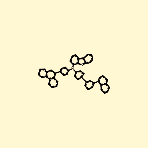 c1cc(-c2ccc(N(c3ccc(-c4cc5ccccc5c5ccccc45)cc3)c3cccc4c3sc3ccccc34)cc2)cc(-c2cccc3ccccc23)c1